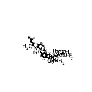 C[C@H](CCC(F)F)N[C@H]1CCCO[C@@H]1Cc1ccc2c(c1F)CN([C@@H](CCC(=O)OC(C)(C)C)C(N)=O)C2=O